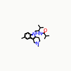 Cc1ccc2c(c1)c1c(n2CC(NC(=O)C(C)C)C(C)C)CCN(C)C1